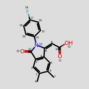 Cc1cc2c(cc1C)C(=CC(=O)O)N(c1ccc(F)cc1)C2=O